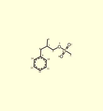 CC(COS(C)(=O)=O)Cc1ccccc1